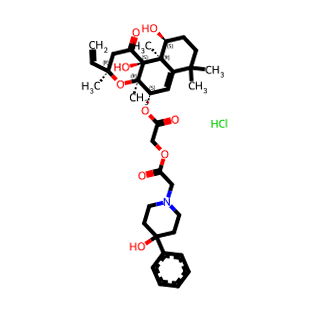 C=C[C@@]1(C)CC(=O)[C@@]2(O)[C@](C)(O1)[C@@H](OC(=O)COC(=O)CN1CCC(O)(c3ccccc3)CC1)C=C1C(C)(C)CC[C@H](O)[C@@]12C.Cl